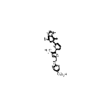 Cc1nc(COc2ncc(C(=O)O)cn2)sc1-c1cccc(-c2cc(F)c3nn[nH]c3c2F)n1